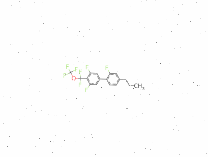 CCCc1ccc(-c2cc(F)c(C(F)(F)OC(F)(F)F)c(F)c2)c(F)c1